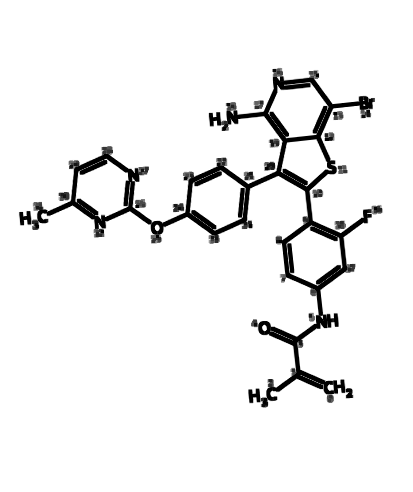 C=C(C)C(=O)Nc1ccc(-c2sc3c(Br)cnc(N)c3c2-c2ccc(Oc3nccc(C)n3)cc2)c(F)c1